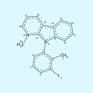 Cc1c(I)cccc1-n1c2ccccc2c2ccc[n+](C)c21